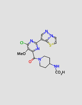 COc1c(Cl)nc(-c2cnn3ccsc23)nc1C(=O)N1CCC(NC(=O)O)CC1